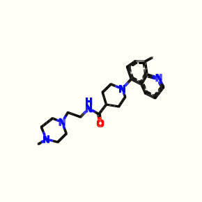 Cc1ccc(N2CCC(C(=O)NCCN3CCN(C)CC3)CC2)c2cccnc12